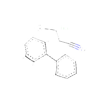 CCCC#N.Cl.c1ccc(-c2ccccc2)cc1